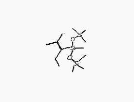 [CH2]C(C)C(CC)[Si](C)(O[Si](C)(C)C)O[Si](C)(C)C